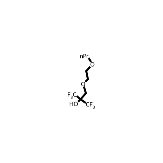 CCCOCCOCC(O)(C(F)(F)F)C(F)(F)F